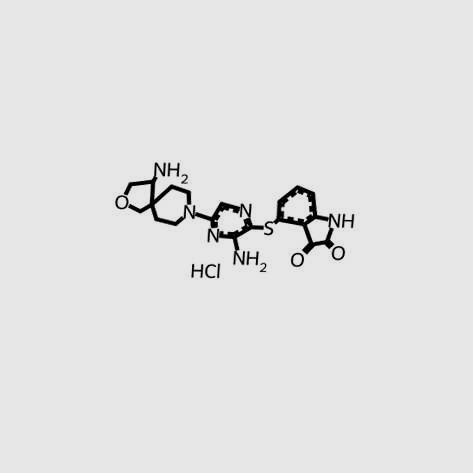 Cl.Nc1nc(N2CCC3(CC2)COCC3N)cnc1Sc1cccc2c1C(=O)C(=O)N2